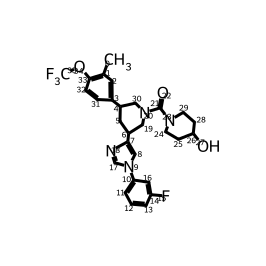 Cc1cc(C2CC(c3cn(-c4cccc(F)c4)cn3)CN(C(=O)N3CCC(O)CC3)C2)ccc1OC(F)(F)F